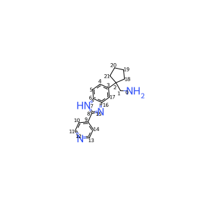 NCC1(c2ccc3[nH]c(-c4ccncc4)nc3c2)CCCC1